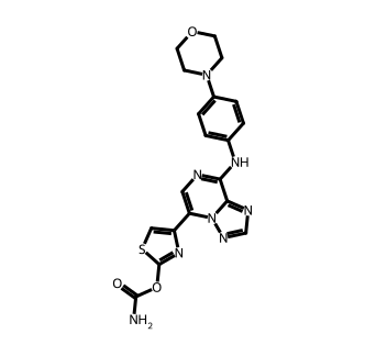 NC(=O)Oc1nc(-c2cnc(Nc3ccc(N4CCOCC4)cc3)c3ncnn23)cs1